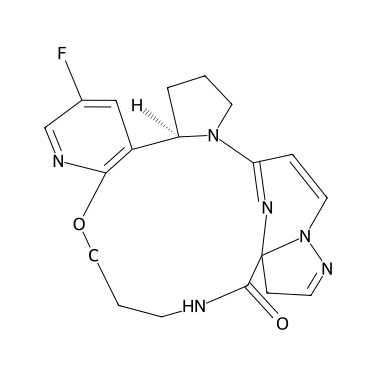 O=C1NCCCOc2ncc(F)cc2[C@H]2CCCN2C2=NC13CC=NN3C=C2